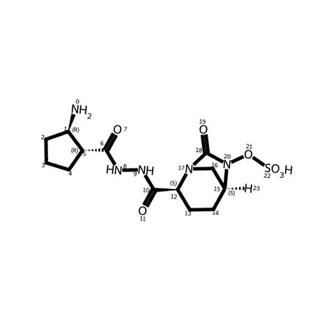 N[C@@H]1CCC[C@H]1C(=O)NNC(=O)[C@@H]1CC[C@H]2CN1C(=O)N2OS(=O)(=O)O